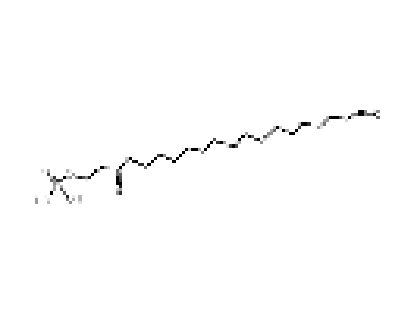 O=P(O)(O)OCCC(=S)CCCCCCCCCCCCCCCCC=S